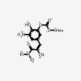 CCCCCCOC(=O)Oc1cc(C=C(C#N)C(=O)N(CC)CC)cc([N+](=O)[O-])c1O